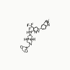 Cn1cc2cc(-c3cc(C(F)(F)F)c(N[C@@H]4C[C@@H]5CN(C[C@@H]6COCCO6)C[C@@H]5C4)nn3)ccc2n1